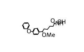 COC(CCCCC(=O)NO)c1ccc(Oc2ccccc2)cc1